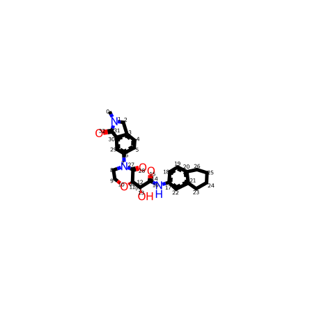 CN1Cc2ccc(N3CCO[C@H]([C@@H](O)C(=O)Nc4ccc5c(c4)CCCC5)C3=O)cc2C1=O